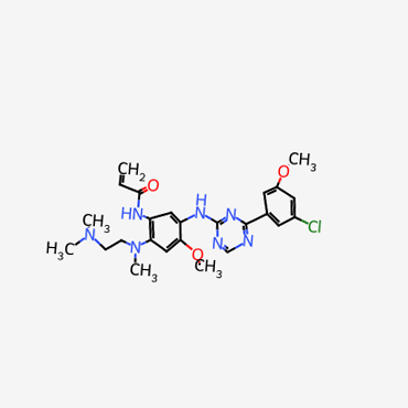 C=CC(=O)Nc1cc(Nc2ncnc(-c3cc(Cl)cc(OC)c3)n2)c(OC)cc1N(C)CCN(C)C